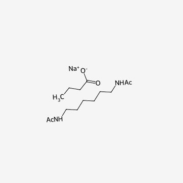 CC(=O)NCCCCCCNC(C)=O.CCCC(=O)[O-].[Na+]